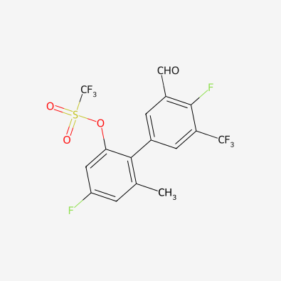 Cc1cc(F)cc(OS(=O)(=O)C(F)(F)F)c1-c1cc(C=O)c(F)c(C(F)(F)F)c1